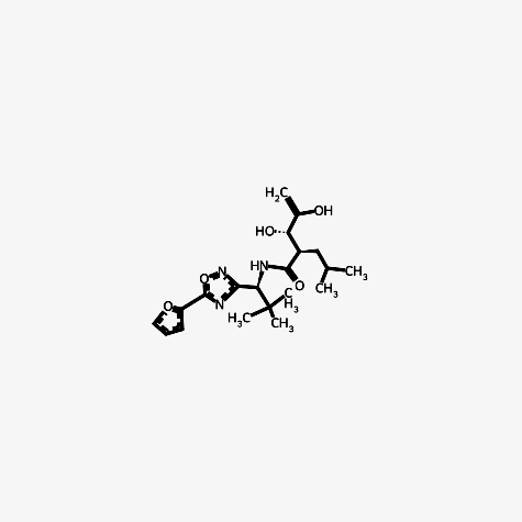 C=C(O)[C@@H](O)[C@@H](CC(C)C)C(=O)N[C@H](c1noc(-c2ccco2)n1)C(C)(C)C